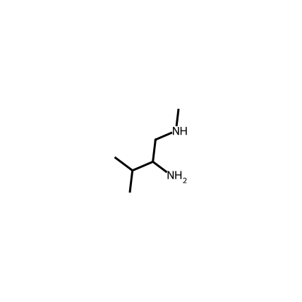 CNCC(N)C(C)C